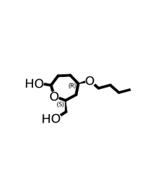 CCCCO[C@@H]1CCC(O)O[C@H](CO)C1